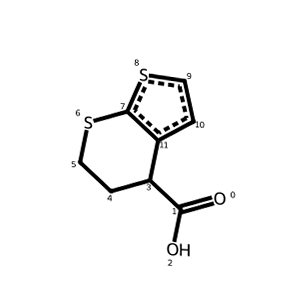 O=C(O)C1CCSc2sccc21